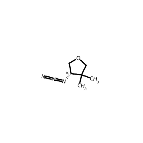 CC1(C)COC[C@H]1N=[N+]=[N-]